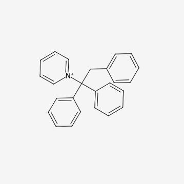 c1ccc(CC(c2ccccc2)(c2ccccc2)[n+]2ccccc2)cc1